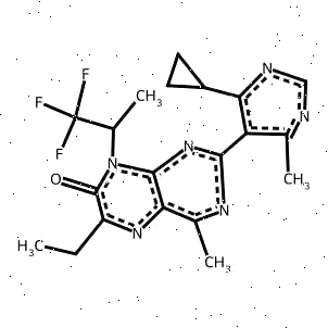 CCc1nc2c(C)nc(-c3c(C)ncnc3C3CC3)nc2n(C(C)C(F)(F)F)c1=O